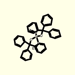 CCO[Si](OCC)(OC(c1ccccc1)(c1ccccc1)c1ccccc1)OC(c1ccccc1)(c1ccccc1)c1ccccc1